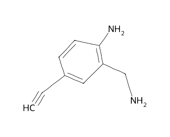 C#Cc1ccc(N)c(CN)c1